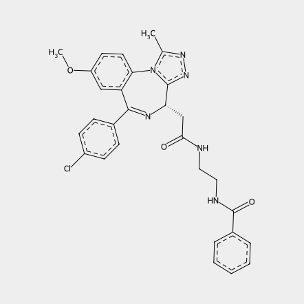 COc1ccc2c(c1)C(c1ccc(Cl)cc1)=N[C@@H](CC(=O)NCCNC(=O)c1ccccc1)c1nnc(C)n1-2